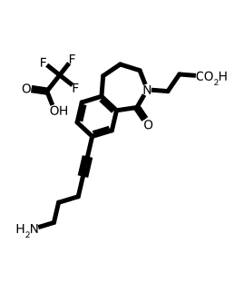 NCCCC#Cc1ccc2c(c1)C(=O)N(CCC(=O)O)CCC2.O=C(O)C(F)(F)F